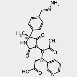 CC(=O)N([C@H](CC(=O)O)c1cccnc1)N1C(=O)N[C@](C)(c2ccc(C=NN)cc2)C1=O